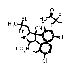 CCC(C)(CC)CC1NC(C(=O)O)C(c2cccc(Cl)c2F)C1(C#N)c1ccc(Cl)cc1F.O=C(O)C(F)(F)F